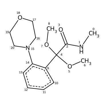 CNC(=O)C(OC)(OC)c1ccccc1N1CCOCC1